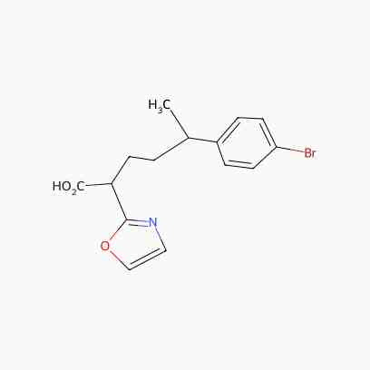 CC(CCC(C(=O)O)c1ncco1)c1ccc(Br)cc1